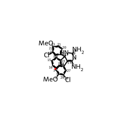 COc1ccc(C2=C(N)N=C(N)NC2(c2ccccc2)c2ccc(OC)c(Cl)c2)cc1Cl